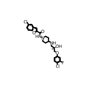 O=C(NN1CCC(NC[C@@H](O)COc2ccc(Cl)c(F)c2)CC1)c1cc2cc(Cl)ccc2o1